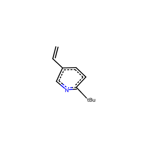 C=Cc1ccc(C(C)(C)C)nc1